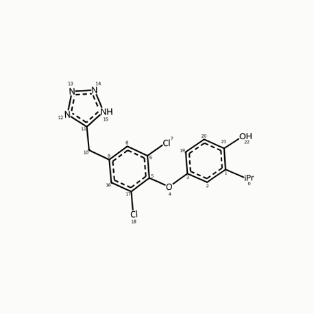 CC(C)c1cc(Oc2c(Cl)cc(Cc3nnn[nH]3)cc2Cl)ccc1O